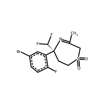 CC1=N[C@@](c2cc(Br)ccc2F)(C(F)F)CCS(=O)(=O)C1